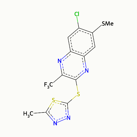 CSc1cc2nc(Sc3nnc(C)s3)c(C(F)(F)F)nc2cc1Cl